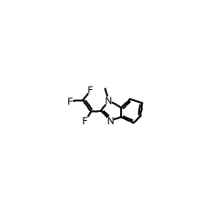 Cn1c(C(F)=C(F)F)nc2ccccc21